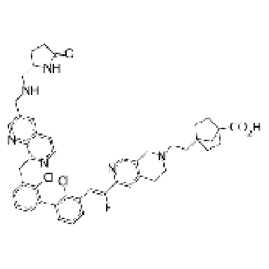 O=C1CC[C@@H](CNCc2cnc3c(Cc4cccc(-c5cccc(/C=C(\F)c6cc7c(cn6)CN(CCC68CCC(C(=O)O)(CC6)C8)CC7)c5Cl)c4Cl)nccc3c2)N1